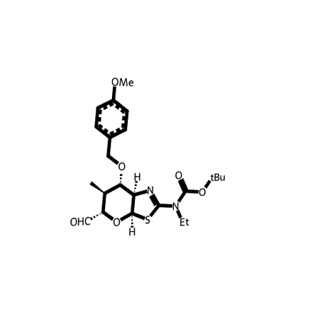 CCN(C(=O)OC(C)(C)C)C1=N[C@@H]2[C@@H](OCc3ccc(OC)cc3)[C@H](C)[C@@H](C=O)O[C@@H]2S1